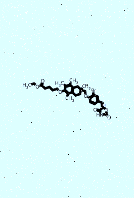 CCOC(=O)CCCCOc1c(C)c(C)c2c(c1C)CCC(C)(COc1ccc(/C=C3/SC(=O)NC3=O)cc1Br)C2